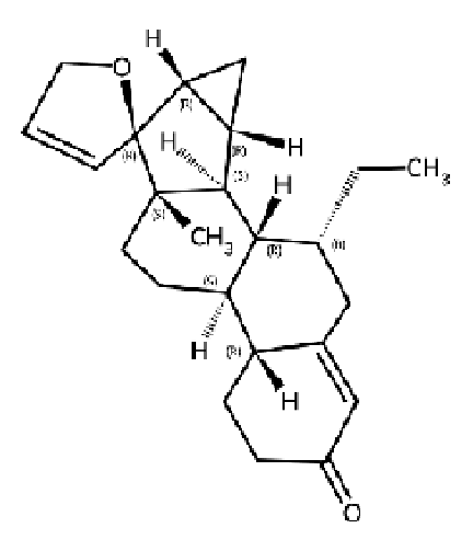 CC[C@@H]1CC2=CC(=O)CC[C@@H]2[C@H]2CC[C@@]3(C)[C@@H]([C@H]4C[C@H]4[C@@]34C=CCO4)[C@H]12